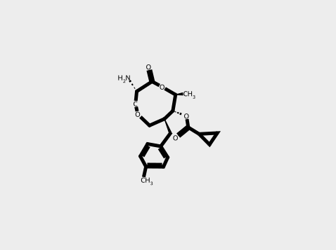 Cc1ccc(C[C@H]2COC[C@H](N)C(=O)O[C@@H](C)[C@@H]2OC(=O)C2CC2)cc1